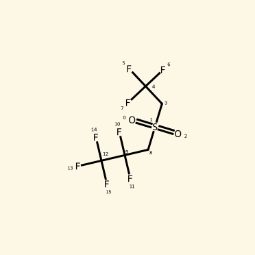 O=S(=O)(CC(F)(F)F)CC(F)(F)C(F)(F)F